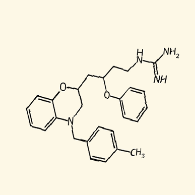 Cc1ccc(CN2CC(CC(CCNC(=N)N)Oc3ccccc3)Oc3ccccc32)cc1